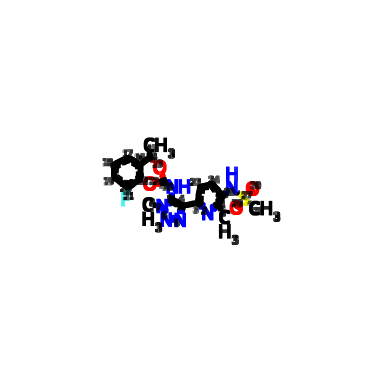 Cc1nc(-c2nnn(C)c2NC(=O)OC(C)c2cccc(F)c2)ccc1NS(C)(=O)=O